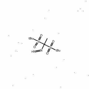 CC(C)(C)S(=O)(=O)C(C)(N=N)S(=O)(=O)C(C)(C)C